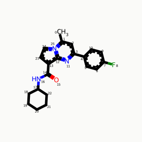 Cc1cc(-c2ccc(F)cc2)nc2c(C(=O)NC3CCCCC3)ccn12